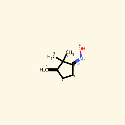 C=C1CC/C(=N/O)C1(C)C